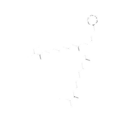 CCCCCCCCC(CCCCCCCC)C(=O)OCCCCCCC(=O)OC[C@@H](COCc1ccccc1)OC(=O)CCCCCCOC(=O)C(CCCCCCCC)CCCCCCCC